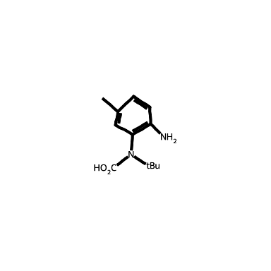 Cc1ccc(N)c(N(C(=O)O)C(C)(C)C)c1